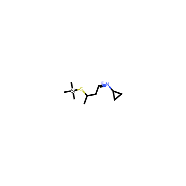 CC(C/C=N\C1CC1)S[Si](C)(C)C